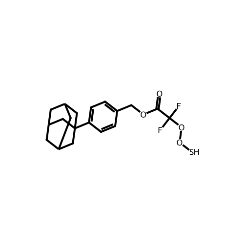 O=C(OCc1ccc(C23CC4CC(CC(C4)C2)C3)cc1)C(F)(F)OOS